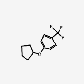 FC(F)(F)c1ccc(OC2CCCC2)cc1